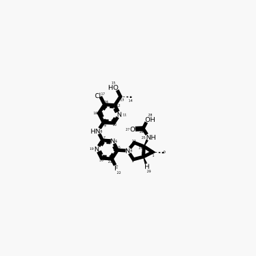 C[C@@H]1[C@@H]2CN(c3nc(Nc4cnc([C@@H](C)O)c(Cl)c4)ncc3F)C[C@]12NC(=O)O